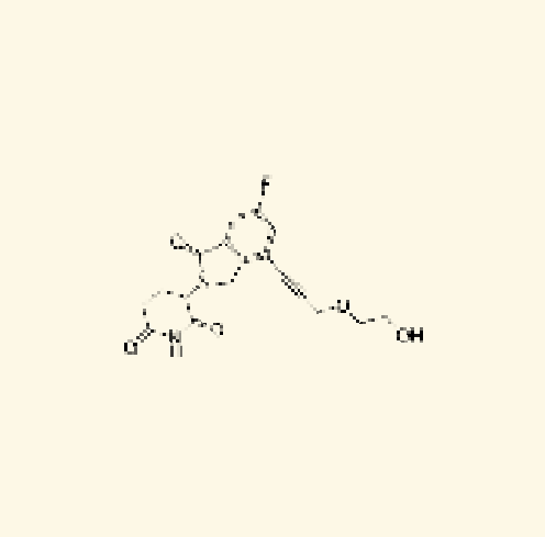 O=C1CCC(N2Cc3c(C#CCOCCO)cc(F)cc3C2=O)C(=O)N1